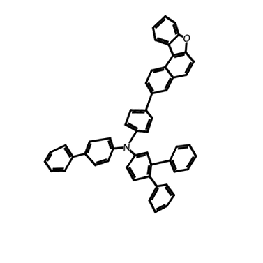 c1ccc(-c2ccc(N(c3ccc(-c4ccc5c(ccc6oc7ccccc7c65)c4)cc3)c3ccc(-c4ccccc4)c(-c4ccccc4)c3)cc2)cc1